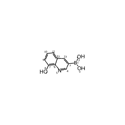 OB(O)c1cnc2c(O)cccc2c1